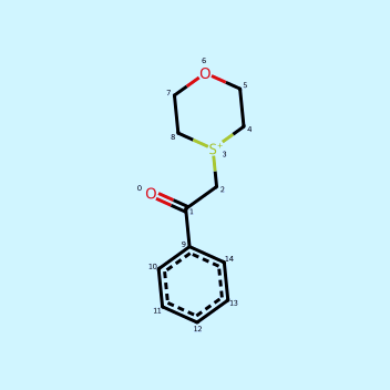 O=C(C[S+]1CCOCC1)c1ccccc1